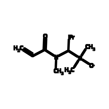 C=CC(=O)N(C)C(C(C)C)[Si](C)(C)[O]